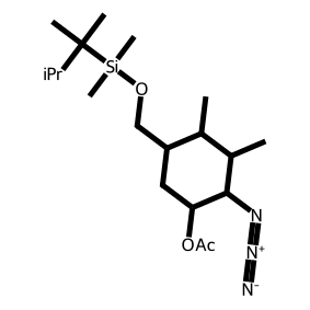 CC(=O)OC1CC(CO[Si](C)(C)C(C)(C)C(C)C)C(C)C(C)C1N=[N+]=[N-]